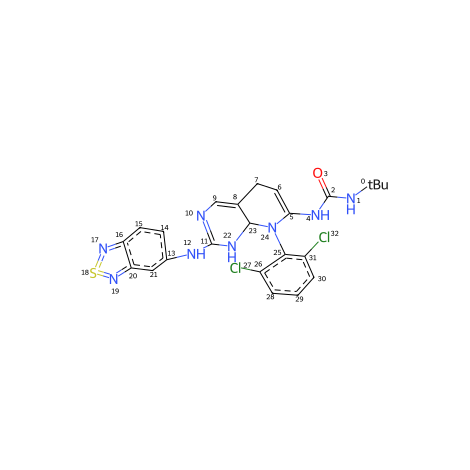 CC(C)(C)NC(=O)NC1=CCC2=CN=C(Nc3ccc4nsnc4c3)NC2N1c1c(Cl)cccc1Cl